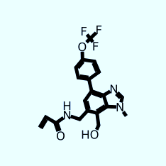 C=CC(=O)NCc1cc(-c2ccc(OC(F)(F)F)cc2)c2ncn(C)c2c1CO